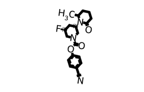 CC1CCCC(=O)N1[C@H]1C[C@H](F)CN(C(=O)Oc2ccc(C#N)cc2)C1